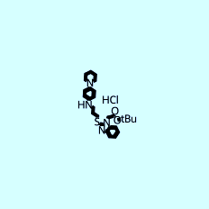 CC(C)(C)OC(=O)Cn1c(SCCCNc2ccc(N3CCCCC3)cc2)nc2ccccc21.Cl